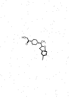 CC(C1Cc2cc(F)ccc2O1)N1CCN(C(=O)CO)CC1